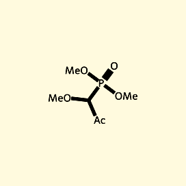 COC(C(C)=O)P(=O)(OC)OC